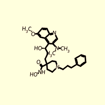 COc1ccc2ncc(N(C)C)c([C@H](O)CCC3(C(=O)NO)CCN(CCCc4ccccc4)CC3)c2c1